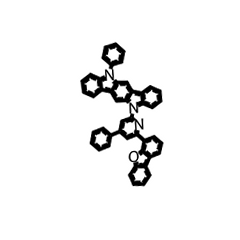 c1ccc(-c2cc(-c3cccc4c3oc3ccccc34)nc(-n3c4ccccc4c4cc5c(cc43)c3ccccc3n5-c3ccccc3)c2)cc1